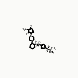 Cc1c(Cl)ccc(N2CCN(C3CCCCC3NS(=O)(=O)c3ccc(S(=O)(=O)N(C)C)cc3)CC2)c1F